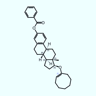 C[C@]12CC[C@@H]3c4ccc(OC(=O)c5ccccc5)cc4CC[C@H]3[C@@H]1CC[C@@H]2O/C1=C/CCCCCC1